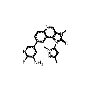 Cc1cc(-n2c(=O)n(C)c3cnc4ccc(-c5cnc(F)c(N)c5)cc4c32)n(C)n1